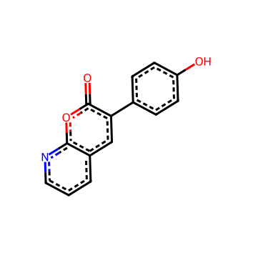 O=c1oc2ncccc2cc1-c1ccc(O)cc1